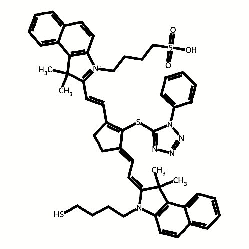 CC1(C)C(/C=C/C2=C(Sc3nnnn3-c3ccccc3)C(=C/C=C3/N(CCCCS)c4ccc5ccccc5c4C3(C)C)/CC2)=[N+](CCCCS(=O)(=O)O)c2ccc3ccccc3c21